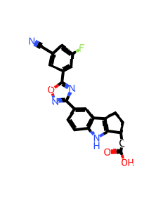 N#Cc1cc(F)cc(-c2nc(-c3ccc4[nH]c5c(c4c3)CCC5CC(=O)O)no2)c1